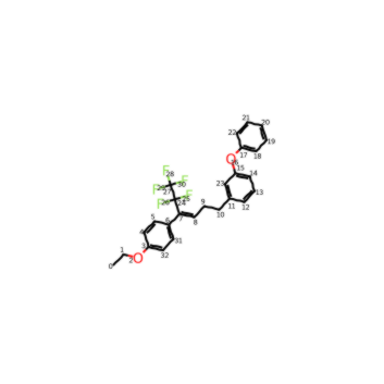 CCOc1ccc(C(=CCCc2cccc(Oc3ccccc3)c2)C(F)(F)C(F)(F)F)cc1